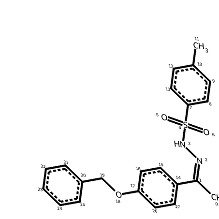 CC(=NNS(=O)(=O)c1ccc(C)cc1)c1ccc(OCc2ccccc2)cc1